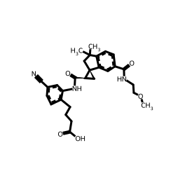 COCCNC(=O)c1ccc2c(c1)[C@@]1(C[C@H]1C(=O)Nc1cc(C#N)ccc1CCCC(=O)O)CC2(C)C